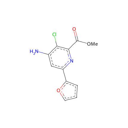 COC(=O)c1nc(-c2ccco2)cc(N)c1Cl